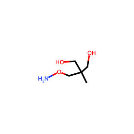 CC(CO)(CO)CON